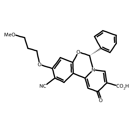 COCCCOc1cc2c(cc1C#N)-c1cc(=O)c(C(=O)O)cn1[C@@H](c1ccccc1)O2